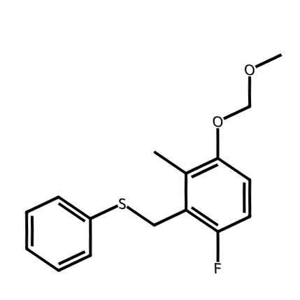 COCOc1ccc(F)c(CSc2ccccc2)c1C